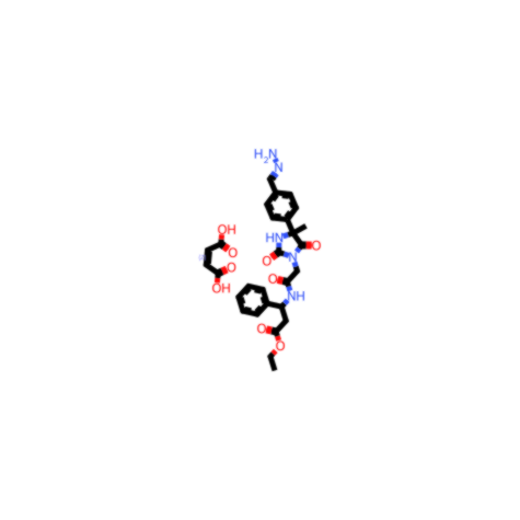 CCOC(=O)CC(NC(=O)CN1C(=O)NC(C)(c2ccc(C=NN)cc2)C1=O)c1ccccc1.O=C(O)/C=C\C(=O)O